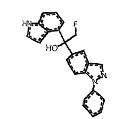 OC(CF)(c1ccc2c(cnn2-c2ccccc2)c1)c1cccc2[nH]ccc12